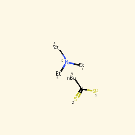 CCCCC(=S)S.CCN(CC)CC